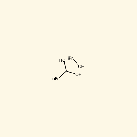 CC(C)O.CCCC(O)O